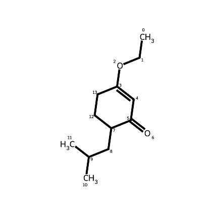 CCOC1=CC(=O)C(CC(C)C)CC1